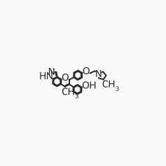 CC1=C(c2cccc(O)c2)C(c2ccc(OCCN3CC[C@@H](C)C3)cc2)Oc2c1ccc1[nH]ncc21